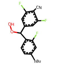 CCCCc1ccc(C(OO)c2cc(F)c(C#N)c(F)c2)c(F)c1